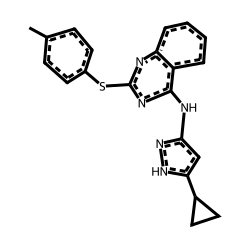 Cc1ccc(Sc2nc(Nc3cc(C4CC4)[nH]n3)c3ccccc3n2)cc1